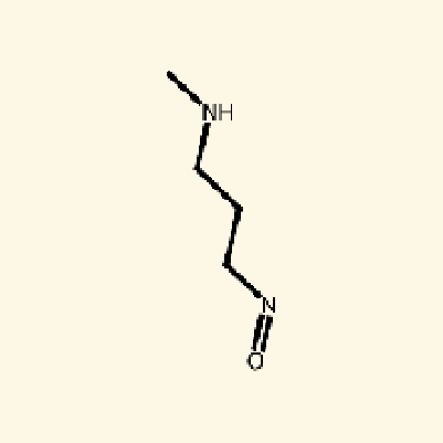 CNCCCN=O